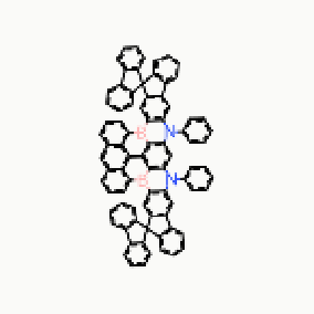 c1ccc(N2c3cc4c(cc3B3c5c2cc2c6c5-c5c7c3cccc7cc3cccc(c53)B6c3cc5c(cc3N2c2ccccc2)-c2ccccc2C52c3ccccc3-c3ccccc32)C2(c3ccccc3-c3ccccc32)c2ccccc2-4)cc1